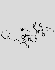 CCC[C@H]1C(=O)N(S(C)(=O)=O)C2=CCN(S(=O)(=O)CCCN3CCCCC3)[C@@H]21